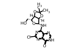 CC1(C)O[C@@H]2[C@H](O1)[C@@H](CO)O[C@H]2Nc1nc(Cl)nc2c(=O)[nH]cnc12